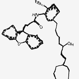 CC(C)(C)c1ccc(CCCCC(O)CCC2CCCCCC2)cc1NC(=O)CC1c2ccccc2Oc2ccccc21